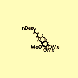 CCCCCCCCCCCCCCN1CCc2cc(OC)c(OC)c(OC)c2C1